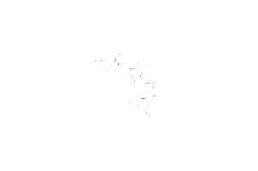 Cc1cc(C2=NOC(c3cc(Cl)cc(Cl)c3)(C(F)(F)F)C2)ccc1CNC(=O)C1CCCO1